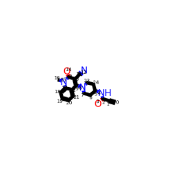 C#CC(=O)NC1CCN(c2c(C#N)c(=O)n(C)c3ccccc23)CC1